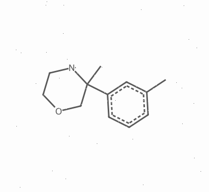 Cc1cccc(C2(C)COCC[N]2)c1